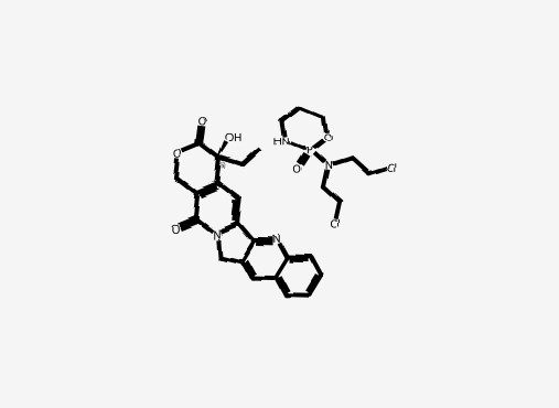 CC[C@@]1(O)C(=O)OCc2c1cc1n(c2=O)Cc2cc3ccccc3nc2-1.O=P1(N(CCCl)CCCl)NCCCO1